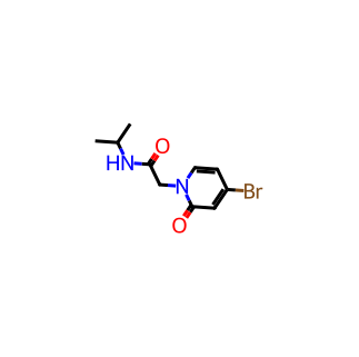 CC(C)NC(=O)Cn1ccc(Br)cc1=O